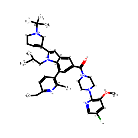 CCc1ccc(-c2cc(C(=O)N3CCN(c4ncc(F)cc4OC)CC3)cc3cc(C4=CCCN(C(C)(C)C)C4)n(CC(C)C)c23)c(C)n1